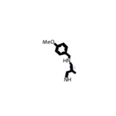 COc1ccc(CN/C=C(/C)C=N)cc1